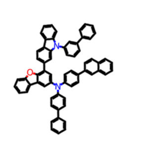 c1ccc(-c2ccc(N(c3ccc(-c4ccc5ccccc5c4)cc3)c3cc(-c4ccc5c6ccccc6n(-c6cccc(-c7ccccc7)c6)c5c4)c4oc5ccccc5c4c3)cc2)cc1